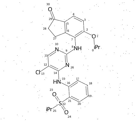 CC(C)Oc1ccc2c(c1Nc1ncc(Cl)c(Nc3ccccc3S(=O)(=O)C(C)C)n1)CCC2=O